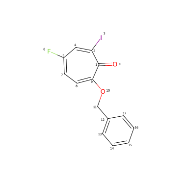 O=c1c(I)cc(F)ccc1OCc1ccccc1